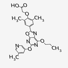 CCCOc1nc(Oc2cncc(C)c2)nc2oc(-c3cc(C)c(OCC(=O)O)c(C)c3)nc12